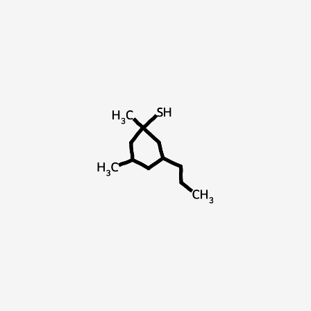 CCCC1CC(C)CC(C)(S)C1